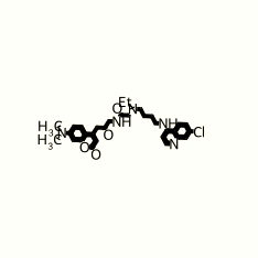 CCN(CCCCNc1ccnc2cc(Cl)ccc12)CC(=O)NCC(=O)Cc1cc(=O)oc2cc(N(C)C)ccc12